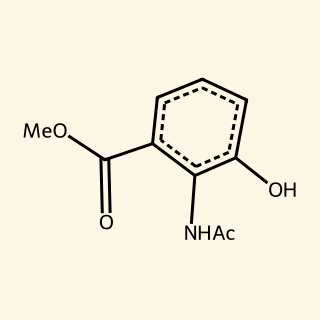 COC(=O)c1cccc(O)c1NC(C)=O